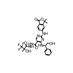 CC1(C)OC(=O)c2ccc(Nc3ncc(C(=O)NNC(=O)C(C)(O)C(F)(F)F)c(NC(CO)c4ccccc4)n3)cc21